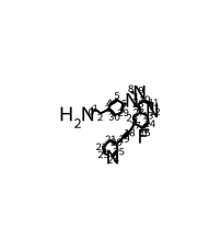 NCCc1ccc(-n2cnc3cnc4cc(F)c(C#Cc5cccnc5)cc4c32)cc1